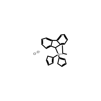 C[C](C)=[Zr+2]([C]1=CC=CC1)([C]1=CC=CC1)[CH]1c2ccccc2-c2ccccc21.[Cl-].[Cl-]